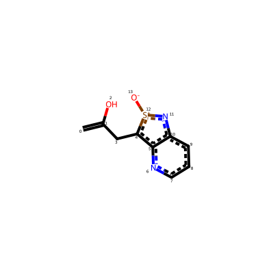 C=C(O)Cc1c2ncccc2n[s+]1[O-]